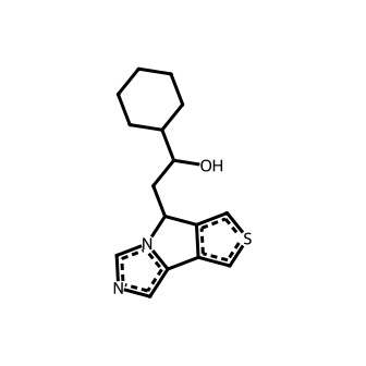 OC(CC1c2cscc2-c2cncn21)C1CCCCC1